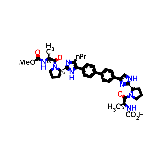 CCCc1nc([C@@H]2CCCN2C(=O)[C@H](C)NC(=O)OC)[nH]c1-c1ccc(-c2ccc(-c3c[nH]c([C@@H]4CCCN4C(=O)[C@H](C)NC(=O)O)n3)cc2)cc1